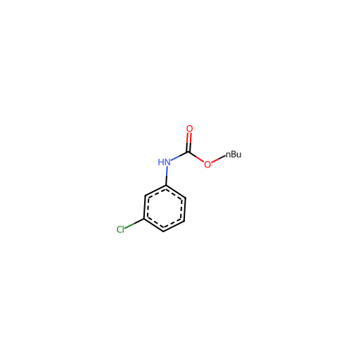 CCCCOC(=O)Nc1cccc(Cl)c1